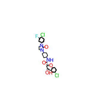 O=C(NC1CCC(N2CCN(c3ccc(Cl)c(F)c3)C2=O)CC1)[C@H]1C[C@@H](O)c2cc(Cl)ccc2O1